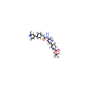 Cc1cc(-c2ccc(CC(=O)Nc3ccc(C4=CCN(C(=O)OC(C)(C)C)CC4)nc3)cc2)ccn1